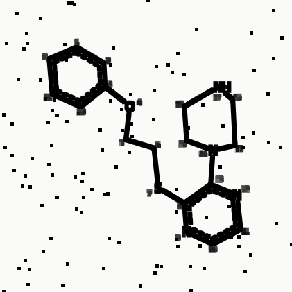 c1ccc(OCCSc2nccnc2N2CCNCC2)cc1